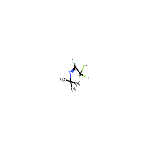 CC(C)(C)/N=C(/Cl)C(F)(F)F